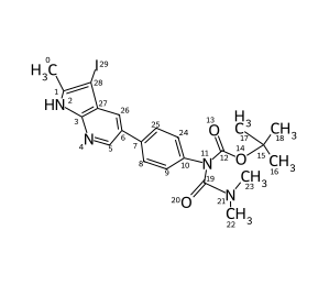 Cc1[nH]c2ncc(-c3ccc(N(C(=O)OC(C)(C)C)C(=O)N(C)C)cc3)cc2c1I